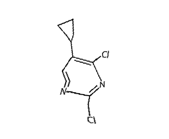 Clc1ncc(C2CC2)c(Cl)n1